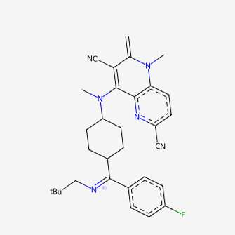 C=C1C(C#N)=C(N(C)C2CCC(/C(=N\CC(C)(C)C)c3ccc(F)cc3)CC2)c2nc(C#N)ccc2N1C